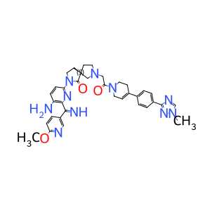 COc1ccc(C(=N)c2nc(N3CC[C@]4(CCN(CC(=O)N5CC=C(c6ccc(-c7ncn(C)n7)cc6)CC5)C4)C3=O)ccc2N)cn1